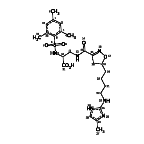 Cc1cc(C)c(S(=O)(=O)NC(CNC(=O)C2=NOC(CCCCNc3nc(C)c[nH]3)C2)C(=O)O)c(C)c1